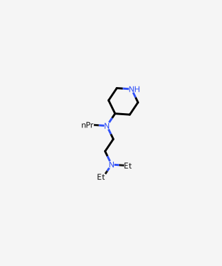 CCCN(CCN(CC)CC)C1CCNCC1